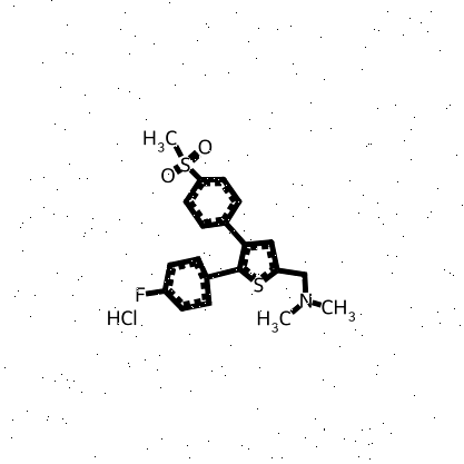 CN(C)Cc1cc(-c2ccc(S(C)(=O)=O)cc2)c(-c2ccc(F)cc2)s1.Cl